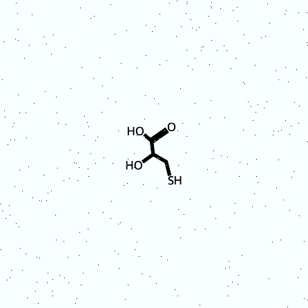 O=C(O)C(O)CS